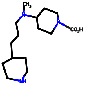 CN(CCCC1CCNCC1)C1CCN(C(=O)O)CC1